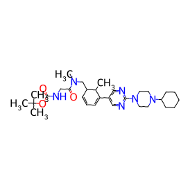 CC1C(c2cnc(N3CCN(C4CCCCC4)CC3)nc2)=CC=CC1CN(C)C(=O)CNC(=O)OC(C)(C)C